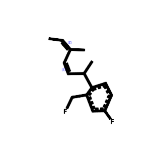 C/C=C(C)\C=C/C(C)c1ccc(F)cc1CF